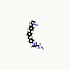 Cc1cc(C(N)=O)nn1-c1ccc(Cc2ccc(-c3ccc(C4CCCN4C)cc3)cc2)cc1